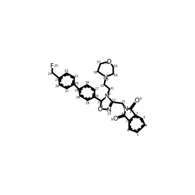 O=C1c2ccccc2C(=O)N1CC1=NOC(c2ccc(-c3ccc(CF)cc3)cc2)N1CCN1CCOCC1